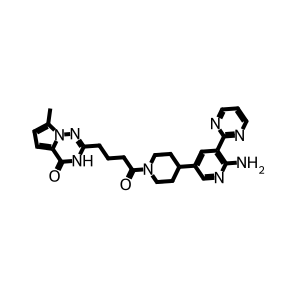 Cc1ccc2c(=O)[nH]c(CCCC(=O)N3CCC(c4cnc(N)c(-c5ncccn5)c4)CC3)nn12